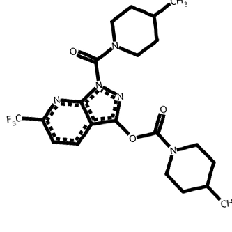 CC1CCN(C(=O)Oc2nn(C(=O)N3CCC(C)CC3)c3nc(C(F)(F)F)ccc23)CC1